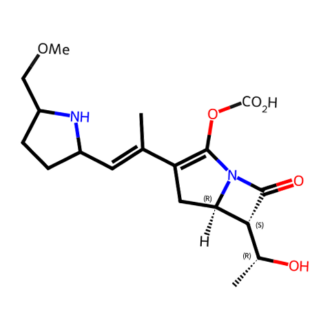 COCC1CCC(C=C(C)C2=C(OC(=O)O)N3C(=O)[C@H]([C@@H](C)O)[C@H]3C2)N1